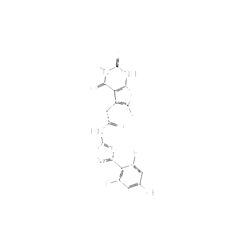 Cc1oc2[nH]c(=O)n(C)c(=O)c2c1CC(=O)Nc1nc(-c2c(F)cc(C(F)(F)F)cc2F)cs1